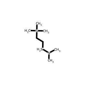 CN(C)[SiH2]CC[Si](C)(C)C